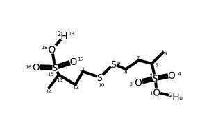 [2H]OS(=O)(=O)C(C)CCSSCCC(C)S(=O)(=O)O[2H]